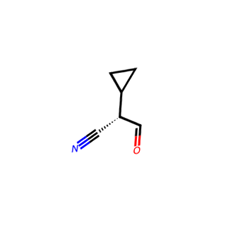 N#C[C@@H](C=O)C1CC1